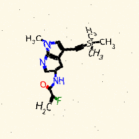 C=C(F)C(=O)Nc1cnc2c(c1)c(C#C[Si](C)(C)C)cn2C